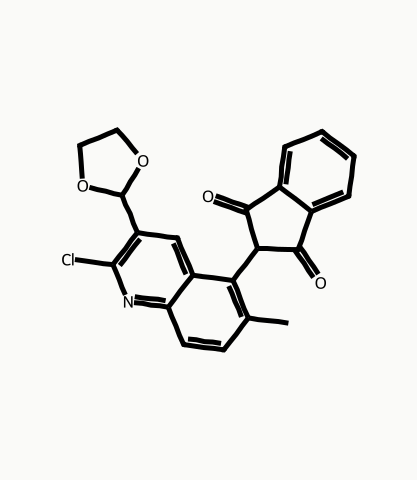 Cc1ccc2nc(Cl)c(C3OCCO3)cc2c1C1C(=O)c2ccccc2C1=O